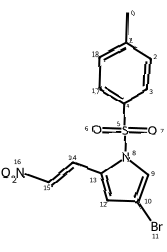 Cc1ccc(S(=O)(=O)n2cc(Br)cc2C=C[N+](=O)[O-])cc1